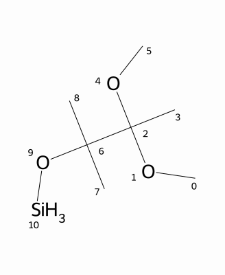 COC(C)(OC)C(C)(C)O[SiH3]